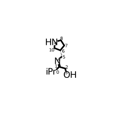 CC(C)/C(CO)=N/C[C@H]1CCNC1